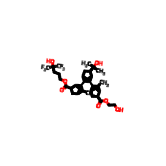 CC1C2CC(CC2C(=O)OCCO)C1[C@@H]1C2CC(CC2C(C)(C)O)C1[C@H]1C(C)C2CC(C(=O)OCCCC(O)(C(F)(F)F)C(F)(F)F)C1C2